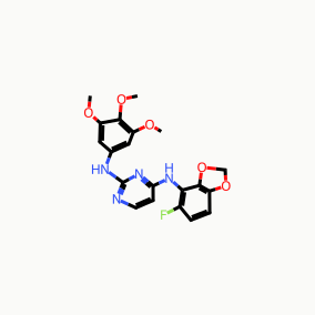 COc1cc(Nc2nccc(Nc3c(F)ccc4c3OCO4)n2)cc(OC)c1OC